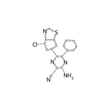 N#Cc1nc(-c2cc(Cl)c3ncsc3c2)c(-c2ccccc2)nc1N